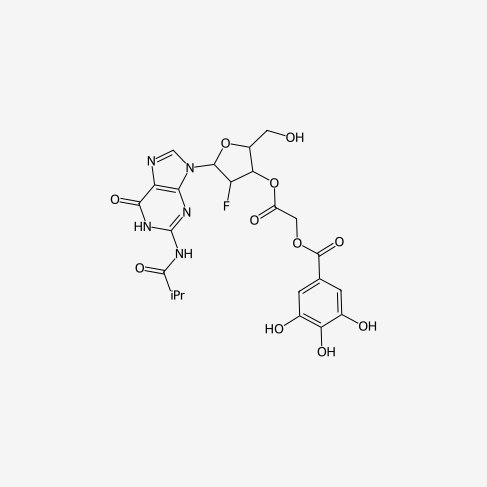 CC(C)C(=O)Nc1nc2c(ncn2C2OC(CO)C(OC(=O)COC(=O)c3cc(O)c(O)c(O)c3)C2F)c(=O)[nH]1